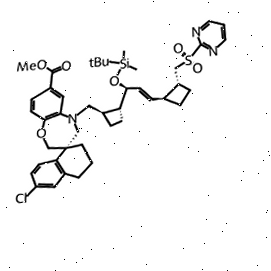 COC(=O)c1ccc2c(c1)N(C[C@@H]1CC[C@H]1[C@H](/C=C/[C@@H]1CC[C@H]1CS(=O)(=O)c1ncccn1)O[Si](C)(C)C(C)(C)C)C[C@@]1(CCCc3cc(Cl)ccc31)CO2